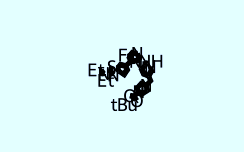 CCN(CC)c1nc2ccc(-c3nc(Nc4ccc(CN5CCN(C(=O)OC(C)(C)C)CC5)cn4)ncc3F)cc2s1